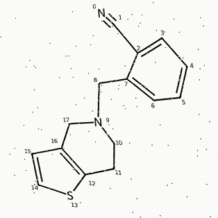 N#Cc1ccccc1CN1CCc2s[c]cc2C1